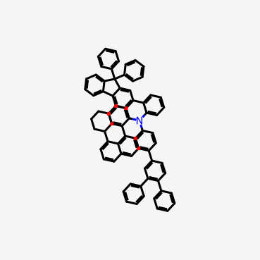 c1ccc(-c2ccc(-c3ccc(N(c4ccccc4-c4ccc5c(c4)C(c4ccccc4)(c4ccccc4)c4ccccc4-5)c4ccccc4-c4cccc5cccc(C6CCCCC6)c45)cc3)cc2-c2ccccc2)cc1